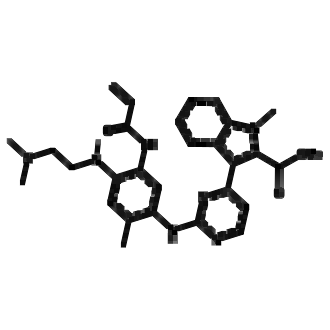 C=CC(=O)Nc1cc(Nc2nccc(-c3c(C(=O)OC)n(C)c4ccccc34)n2)c(C)cc1N(C)CCN(C)C